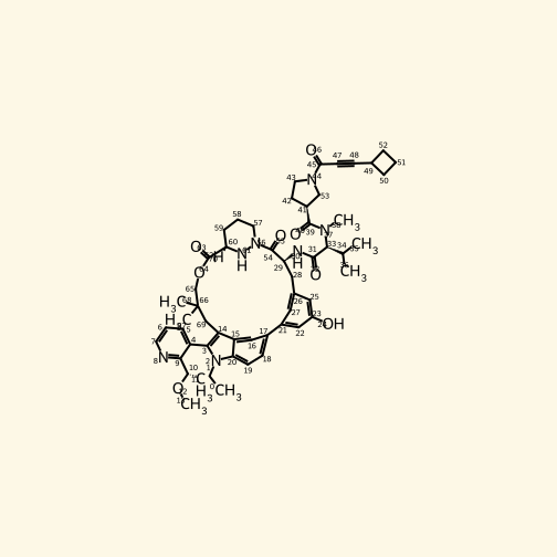 CCn1c(-c2cccnc2[C@H](C)OC)c2c3cc(ccc31)-c1cc(O)cc(c1)C[C@H](NC(=O)[C@H](C(C)C)N(C)C(=O)[C@H]1CCN(C(=O)C#CC3CCC3)C1)C(=O)N1CCC[C@H](N1)C(=O)OCC(C)(C)C2